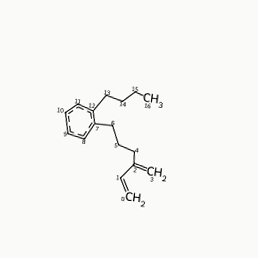 C=CC(=C)CCCc1ccccc1CCCC